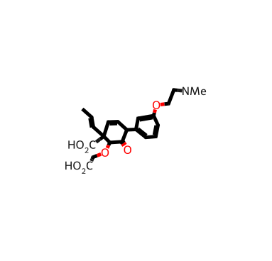 CC=CC1(C(=O)O)C=CC(c2cccc(OCCNC)c2)C(=O)C1OCC(=O)O